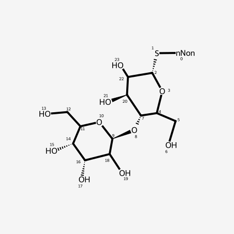 CCCCCCCCCS[C@@H]1OC(CO)[C@H](O[C@@H]2OC(CO)[C@@H](O)[C@@H](O)C2O)[C@@H](O)C1O